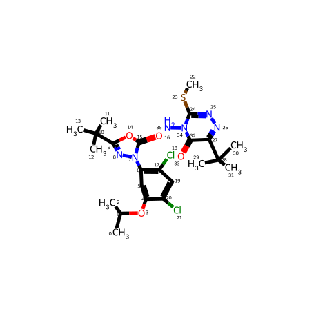 CC(C)Oc1cc(-n2nc(C(C)(C)C)oc2=O)c(Cl)cc1Cl.CSc1nnc(C(C)(C)C)c(=O)n1N